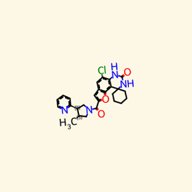 C[C@@H]1CN(C(=O)c2cc3cc(Cl)c4c(c3o2)C2(CCCCC2)NC(=O)N4)C[C@@H]1c1ccccn1